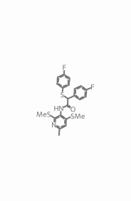 CSc1cc(C)nc(SC)c1NC(=O)C(Sc1ccc(F)cc1)c1ccc(F)cc1